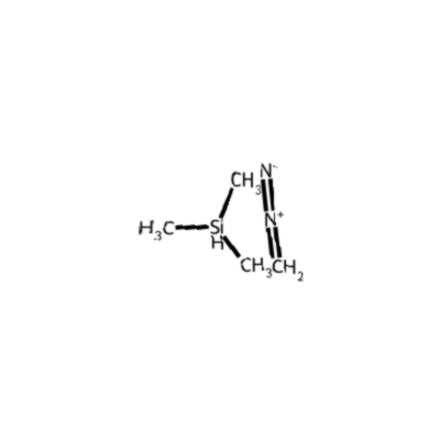 C=[N+]=[N-].C[SiH](C)C